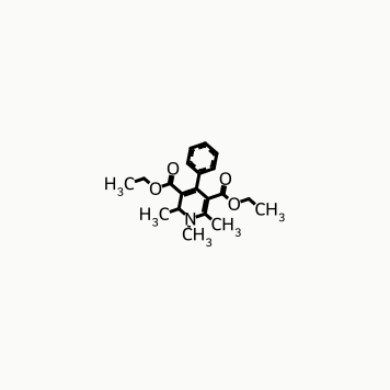 CCOC(=O)C1=C(C)N(C)C(C)C(C(=O)OCC)=C1c1ccccc1